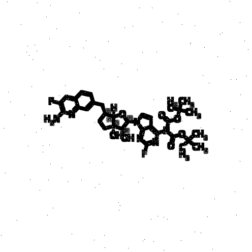 CC(C)(C)OC(=O)N(C(=O)OC(C)(C)C)c1nc(F)nc2c1ccn2[C@@H]1O[C@@H]2[C@H](Cc3ccc4cc(F)c(N)nc4c3)CC[C@]2(O)[C@H]1O